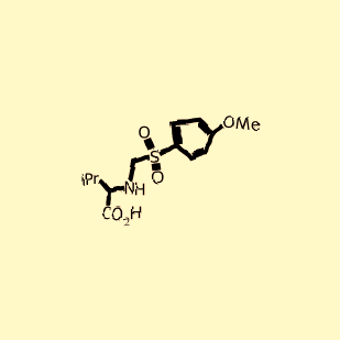 COc1ccc(S(=O)(=O)CNC(C(=O)O)C(C)C)cc1